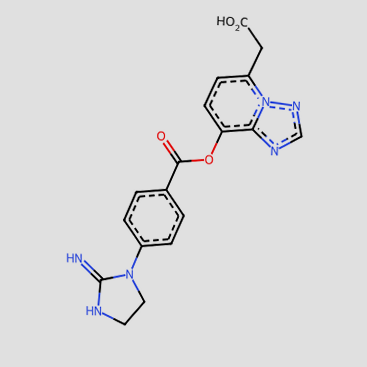 N=C1NCCN1c1ccc(C(=O)Oc2ccc(CC(=O)O)n3ncnc23)cc1